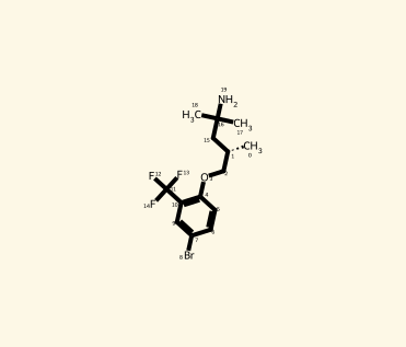 C[C@H](COc1ccc(Br)cc1C(F)(F)F)CC(C)(C)N